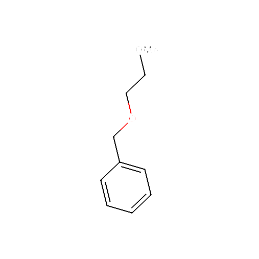 COCCO[CH]c1ccccc1